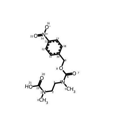 CN(CCN(C)C(=O)OCc1ccc([N+](=O)[O-])cc1)C(=O)O